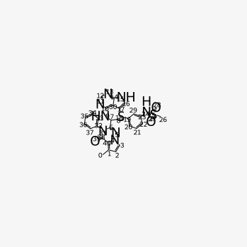 Cc1ccn2nc(C(C)Nc3ncnc4[nH]cc(Sc5cccc(NS(C)(=O)=O)c5)c34)n(-c3ccccc3)c(=O)c12